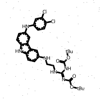 CC(C)(C)OC(=O)/N=C(/NCCNc1ccc2[nH]c3ccc(Nc4ccc(Cl)c(Cl)c4)cc3c2c1)NC(=O)OC(C)(C)C